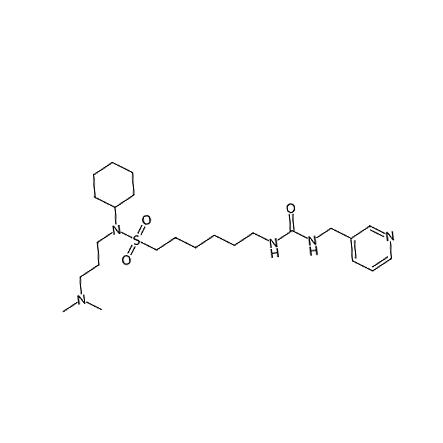 CN(C)CCCN(C1CCCCC1)S(=O)(=O)CCCCCCNC(=O)NCc1cccnc1